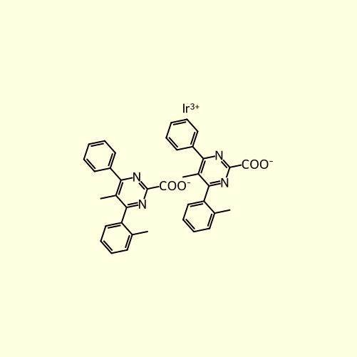 Cc1ccccc1-c1nc(C(=O)[O-])nc(-c2ccccc2)c1C.Cc1ccccc1-c1nc(C(=O)[O-])nc(-c2ccccc2)c1C.[Ir+3]